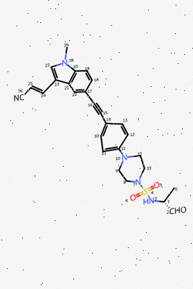 C[C@H](C=O)NS(=O)(=O)N1CCN(c2ccc(C#Cc3ccc4c(c3)c(/C=C/C#N)cn4C)cc2)CC1